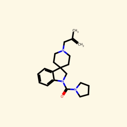 C=C(C)CN1CCC2(CC1)CN(C(=O)N1CCCC1)c1ccccc12